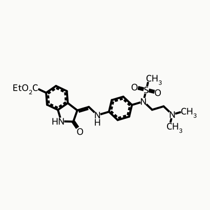 CCOC(=O)c1ccc2c(c1)NC(=O)C2=CNc1ccc(N(CCN(C)C)S(C)(=O)=O)cc1